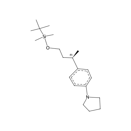 C[C@H](CCO[Si](C)(C)C(C)(C)C)c1ccc(N2CCCC2)cc1